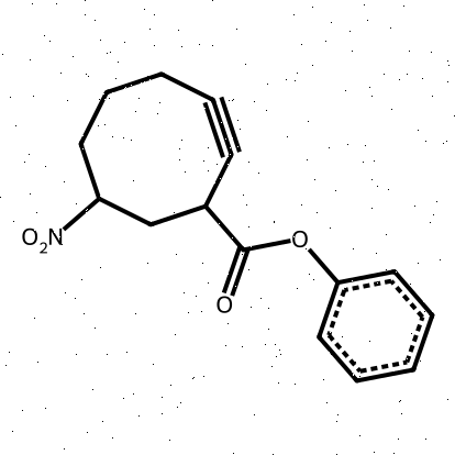 O=C(Oc1ccccc1)C1C#CCCCC([N+](=O)[O-])C1